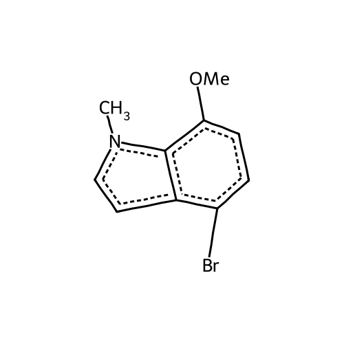 COc1ccc(Br)c2ccn(C)c12